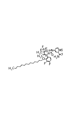 CCCCCCCCCCCCCCOc1c([C@H]2[C@@H](C)[C@@](C)(C(F)(F)F)O[C@H]2C(=O)NC2=CC(C(N)=O)[N+](=O)C=C2)ccc(F)c1F